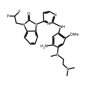 COc1cc(N(C)CCN(C)C)c(N)cc1Nc1nccc(-n2c(=O)n(CC(F)F)c3ccccc32)n1